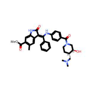 COC(=O)c1cc2c(cc1C)/C(=C(/Nc1ccc(C(=O)N3CC[C@@H](CN(C)C)[C@H](O)C3)cc1)c1ccccc1)C(=O)N2